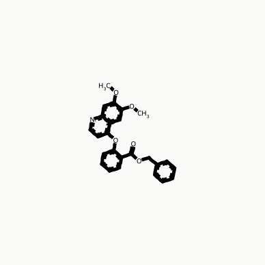 COc1cc2nccc(Oc3ccccc3C(=O)OCc3ccccc3)c2cc1OC